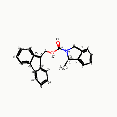 CC(=O)[C@@H]1c2ccccc2CN1C(=O)OCC1c2ccccc2-c2ccccc21